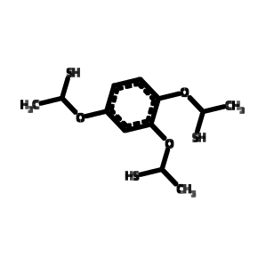 CC(S)Oc1ccc(OC(C)S)c(OC(C)S)c1